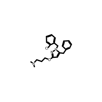 CN(C)CCCOc1cc(Cc2ccccc2)n(Cc2ccccc2Cl)n1